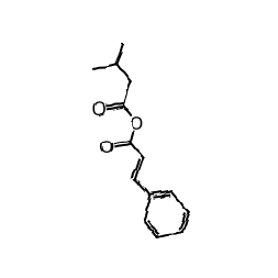 CC(C)CC(=O)OC(=O)/C=C/c1ccccc1